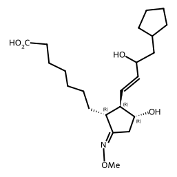 CON=C1C[C@@H](O)[C@H](C=CC(O)CC2CCCC2)[C@H]1CCCCCCC(=O)O